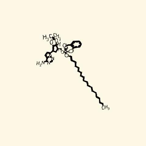 CCCCCCCCCCCCCCCCCCCCOP(=O)(OC[C@H]1CC(c2ccc3c(N)ncnn23)=C2OC(C)(C)O[C@@H]21)Oc1ccccc1Cl